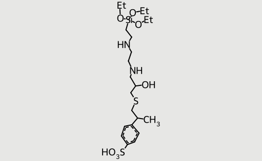 CCO[Si](CCNCCNCC(O)CSCC(C)c1ccc(S(=O)(=O)O)cc1)(OCC)OCC